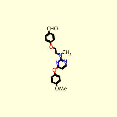 COc1ccc(Oc2ccnc(N(C)CCOc3ccc(C=O)cc3)n2)cc1